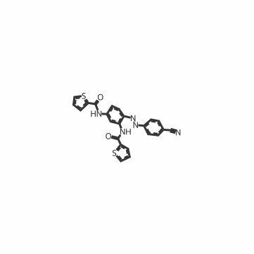 N#Cc1ccc(/N=N/c2ccc(NC(=O)c3cccs3)cc2NC(=O)c2cccs2)cc1